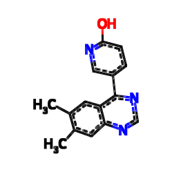 Cc1cc2ncnc(-c3ccc(O)nc3)c2cc1C